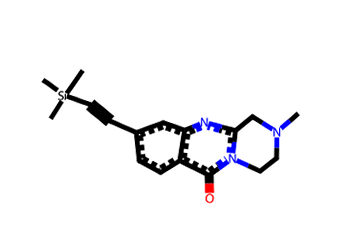 CN1CCn2c(nc3cc(C#C[Si](C)(C)C)ccc3c2=O)C1